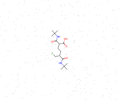 CC(C)(C)NC(=O)C(CF)CCC(C(=O)O)C(=O)NC(C)(C)C